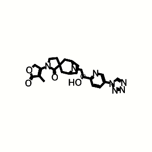 CC1=C(N2CCC3(CC4CCC(C3)N4C[C@H](O)c3ccc(-n4cnnn4)cn3)C2=O)COC1=O